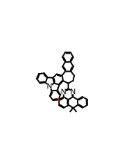 CC1(C)c2ccccc2-c2nc(C3CCc4cc5ccccc5cc4-c4cc5c6ccccc6n6c7ccccc7c(c43)c56)nc3cccc1c23